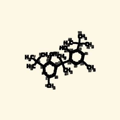 Cc1cc(C(C)(C)C)c(O)c(C(C)(C)c2cc(C)cc(C(C)(C)C)c2O)c1